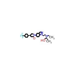 CC[C@@H](CO)N(CC)CCn1ncc2cc(-n3ccc(-c4ccc(C(F)(F)F)cc4)cc3=O)ccc21